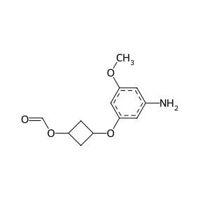 COc1cc(N)cc(OC2CC(OC=O)C2)c1